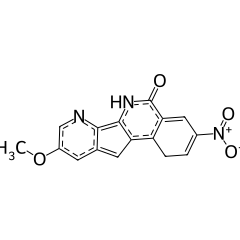 COc1cnc2c(c1)=Cc1c3c(c(=O)[nH]c1=2)=CC([N+](=O)[O-])=CC3